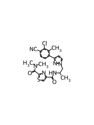 Cc1c(-c2ccn(CC(C)NC(=O)c3csc(C(=O)N(C)C)n3)n2)ccc(C#N)c1Cl